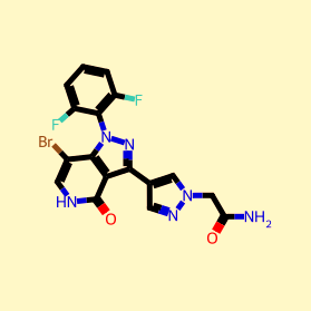 NC(=O)Cn1cc(-c2nn(-c3c(F)cccc3F)c3c(Br)c[nH]c(=O)c23)cn1